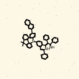 CC1(C)c2ccccc2-c2c(N(c3ccc(-c4ccc5ccccc5c4)cc3)c3ccc4c(c3)C=C(c3ccccc3)N/C4=C(\C(=N)c3ccccc3)c3ccccc3)cccc21